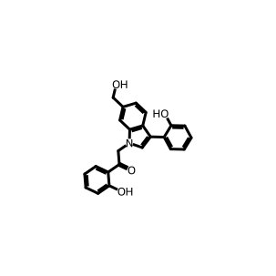 O=C(Cn1cc(-c2ccccc2O)c2ccc(CO)cc21)c1ccccc1O